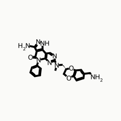 CN(C[C@H]1COc2ccc(CN)cc2O1)c1ncc2c3[nH]nc(N)c3c(=O)n(-c3ccccc3)c2n1